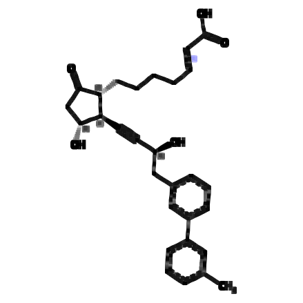 Cc1cccc(-c2cccc(C[C@H](O)C#C[C@H]3[C@H](O)CC(=O)[C@@H]3CCCC/C=C/C(=O)O)c2)c1